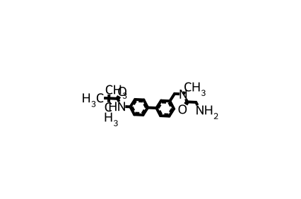 CN(Cc1cccc(-c2ccc(NC(=O)C(C)(C)C)cc2)c1)C(=O)CN